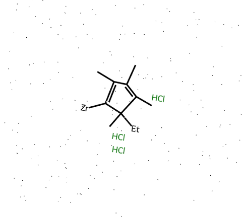 CCC1(C)C(C)=C(C)C(C)=[C]1[Zr].Cl.Cl.Cl